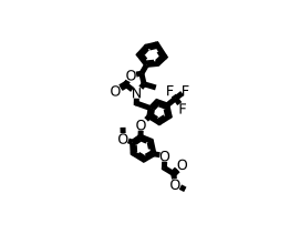 COC(=O)COc1ccc(OC)c(Oc2ccc(C(F)(F)F)cc2CN2C(=O)OC(c3ccccc3)C2C)c1